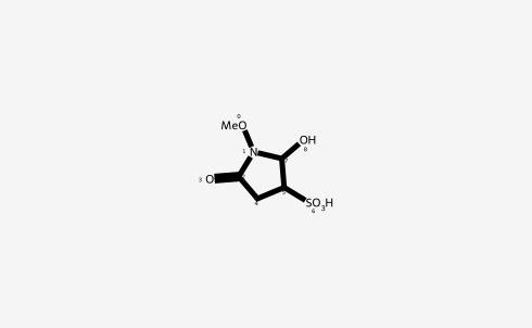 CON1C(=O)CC(S(=O)(=O)O)C1O